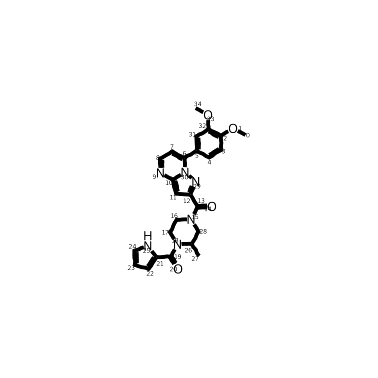 COc1ccc(-c2ccnc3cc(C(=O)N4CCN(C(=O)c5ccc[nH]5)C(C)C4)nn23)cc1OC